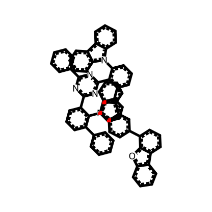 c1ccc(-c2nc(-c3cccc(-c4ccccc4)c3-n3c4ccccc4c4cc(-c5cccc6c5oc5ccccc56)ccc43)nc(-c3c(-c4ccccc4)cccc3-n3c4ccccc4c4ccccc43)n2)cc1